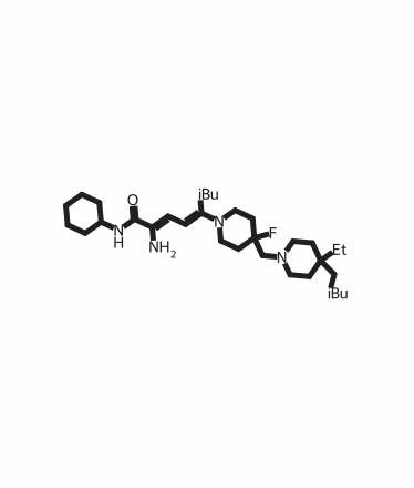 CCC(C)CC1(CC)CCN(CC2(F)CCN(/C(=C/C=C(\N)C(=O)NC3CCCCC3)C(C)CC)CC2)CC1